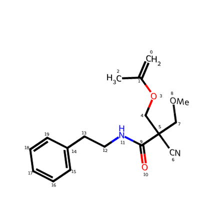 C=C(C)OCC(C#N)(COC)C(=O)NCCc1ccccc1